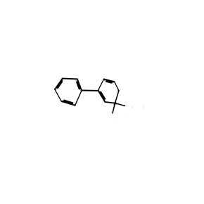 O=S(=O)(O)C1(S(=O)(=O)O)C=C(c2ccccc2)C=CC1